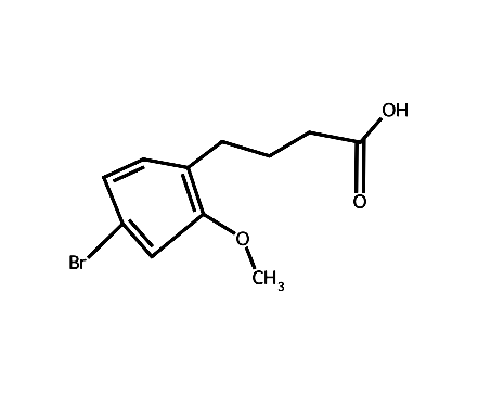 COc1cc(Br)ccc1CCCC(=O)O